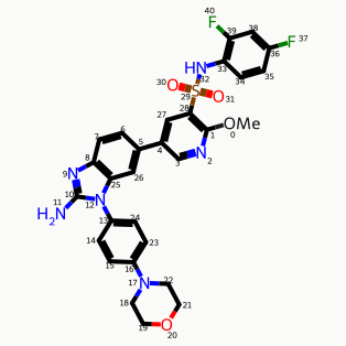 COc1ncc(-c2ccc3nc(N)n(-c4ccc(N5CCOCC5)cc4)c3c2)cc1S(=O)(=O)Nc1ccc(F)cc1F